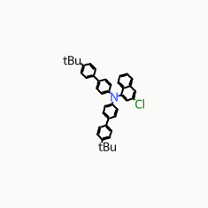 CC(C)(C)c1ccc(-c2ccc(N(c3ccc(-c4ccc(C(C)(C)C)cc4)cc3)c3cc(Cl)cc4ccccc34)cc2)cc1